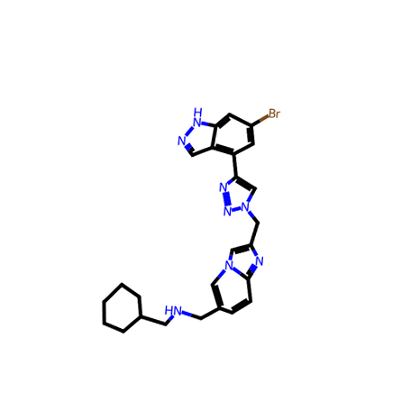 Brc1cc(-c2cn(Cc3cn4cc(CNCC5CCCCC5)ccc4n3)nn2)c2cn[nH]c2c1